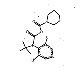 CC(C)(C)N(C(=O)OC(=O)N1CCCCC1)c1c(Cl)cncc1Cl